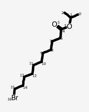 CC(C)OC(=O)CCCCCCCCCCBr